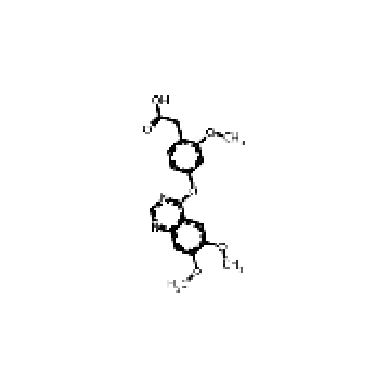 COc1cc(Oc2ncnc3cc(OC)c(OC)cc23)ccc1CC(=O)O